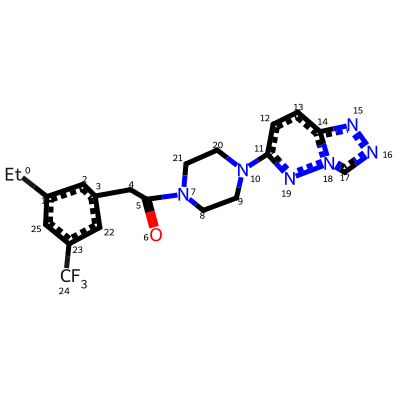 CCc1cc(CC(=O)N2CCN(c3ccc4nncn4n3)CC2)cc(C(F)(F)F)c1